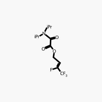 CC(C)N(C(=O)C(=O)OC/C=C(\F)C(F)(F)F)C(C)C